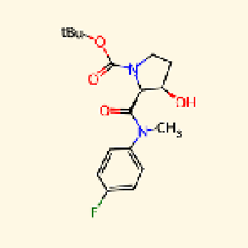 CN(C(=O)[C@@H]1[C@H](O)CCN1C(=O)OC(C)(C)C)c1ccc(F)cc1